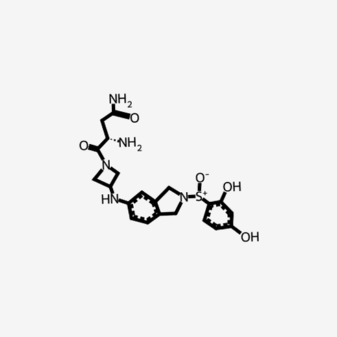 NC(=O)C[C@H](N)C(=O)N1CC(Nc2ccc3c(c2)CN([S+]([O-])c2ccc(O)cc2O)C3)C1